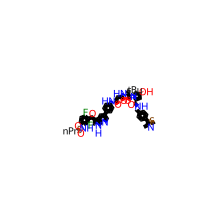 CCCS(=O)(=O)Nc1ccc(F)c(C(=O)c2c[nH]c3ncc(-c4ccc(NC(=O)CC(=O)NC(C(=O)N5C[C@H](O)C[C@H]5C(=O)NCc5ccc(-c6scnc6C)cc5)C(C)(C)C)cc4)cc23)c1F